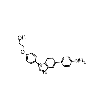 Nc1ccc(-c2ccc3c(c2)ncn3-c2ccc(OCCO)cc2)cc1